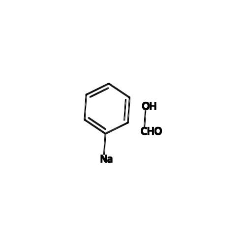 O=CO.[Na][c]1ccccc1